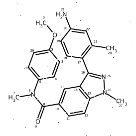 COc1ccc(N(C)C(=O)c2ccc3c(c2)c(-c2ccc(N)cc2C)nn3C)cc1